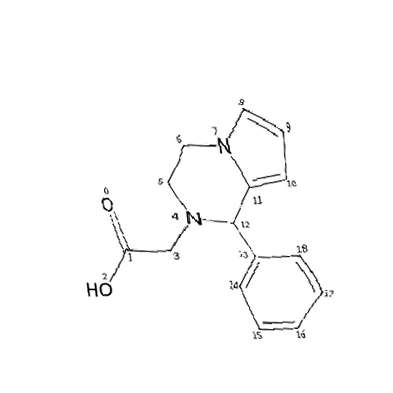 O=C(O)CN1CCn2cccc2C1c1ccccc1